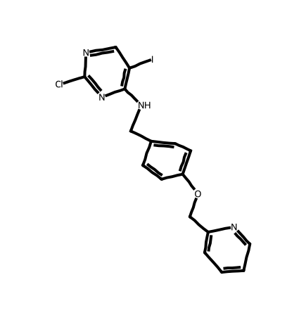 Clc1ncc(I)c(NCc2ccc(OCc3ccccn3)cc2)n1